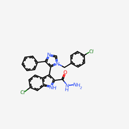 NNC(=O)c1[nH]c2cc(Cl)ccc2c1-c1c(-c2ccccc2)ncn1Cc1ccc(Cl)cc1